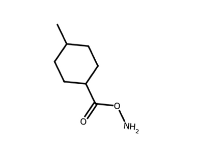 CC1CCC(C(=O)ON)CC1